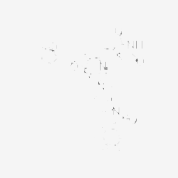 O=C1NC(=O)C(=Cc2cc(OCc3ccco3)nc(N3CC4(CN(C(=O)c5ccccc5)C4)C3)n2)S1